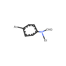 [CH2]CN(C=O)c1ccc(C(C)=O)cc1